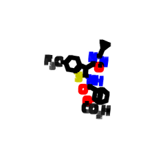 O=C(O)OC1=C(C(=O)Nc2sc3c(c2-c2nc(C4CC4)no2)CCC(C(F)(F)F)C3)C2CCC1CC2